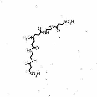 CN(CCC(=O)NCCNC(=O)CCS(=O)(=O)O)CCC(=O)NCCNC(=O)CCS(=O)(=O)O